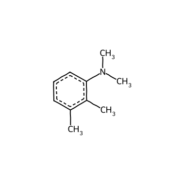 Cc1cccc(N(C)C)c1C